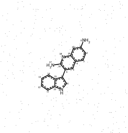 Nc1ccc2cc(-c3c[nH]c4ccccc34)c(N)nc2c1